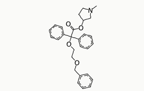 CN1CCC(OC(=O)C(OCCOCc2ccccc2)(c2ccccc2)c2ccccc2)C1